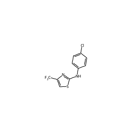 FC(F)(F)c1csc(Nc2ccc(Cl)cc2)n1